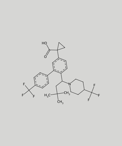 CC(C)(C)CC(c1ccc(C2(C(=O)O)CC2)cc1-c1ccc(C(F)(F)F)cc1)N1CCC(C(F)(F)F)CC1